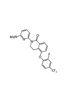 CNc1cccc(N2CCc3c(Oc4ccc(C(F)(F)F)cc4F)cccc3C2=O)n1